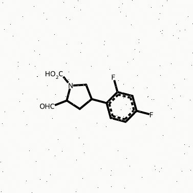 O=CC1CC(c2ccc(F)cc2F)CN1C(=O)O